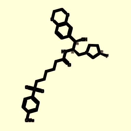 COc1ccc(S(=O)(=O)CCCCCC(=O)N[C@H](CN2CC[C@@H](F)C2)[C@H](O)c2ccc3c(c2)OCCO3)cc1